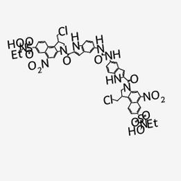 CCN(O)S(=O)(=O)c1ccc2c3c(cc([N+](=O)[O-])c2c1)N(C(=O)c1cc2cc(NC(=O)Nc4ccc5[nH]c(C(=O)N6CC(CCl)c7c6cc([N+](=O)[O-])c6cc(S(=O)(=O)N(O)CC)ccc76)cc5c4)ccc2[nH]1)CC3CCl